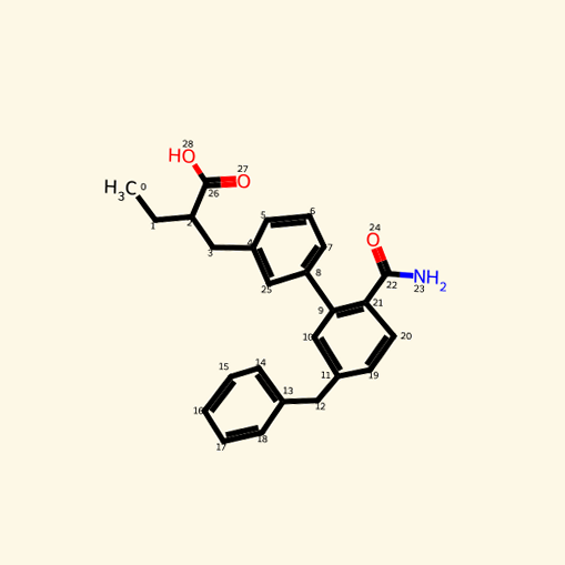 CCC(Cc1cccc(-c2cc(Cc3ccccc3)ccc2C(N)=O)c1)C(=O)O